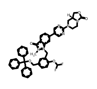 Cn1c(=O)c2ccc(-c3cnc(N4CCN5C(=O)OC[C@H]5C4)nc3)cc2n1Cc1cc(COC(c2ccccc2)(c2ccccc2)c2ccccc2)ccc1OC(F)F